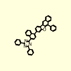 c1ccc(-c2nc(-c3ccccc3)nc(-c3ccc(-c4ccc5c(c4)oc4c(-c6ccccc6)c6ccccc6cc45)c4ccccc34)n2)cc1